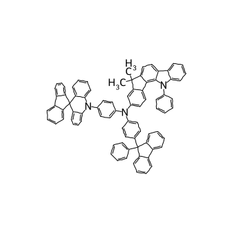 CC1(C)c2cc(N(c3ccc(N4c5ccccc5C5(c6ccccc6-c6ccccc65)c5ccccc54)cc3)c3ccc(C4(c5ccccc5)c5ccccc5-c5ccccc54)cc3)ccc2-c2c1ccc1c3ccccc3n(-c3ccccc3)c21